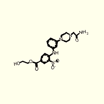 NC(=O)CN1CCN(c2cccc(Nc3ccc(C(=O)OCCO)cc3[N+](=O)[O-])c2)CC1